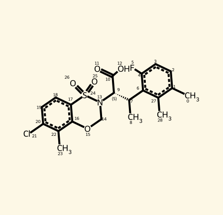 Cc1ccc(F)c(C(C)[C@@H](C(=O)O)N2COc3c(ccc(Cl)c3C)S2(=O)=O)c1C